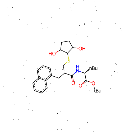 CCCC[C@H](NC(=O)[C@@H](CSC1C(O)CCC1O)Cc1cccc2ccccc12)C(=O)OC(C)(C)C